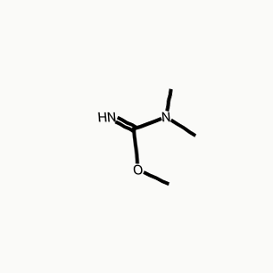 COC(=N)N(C)C